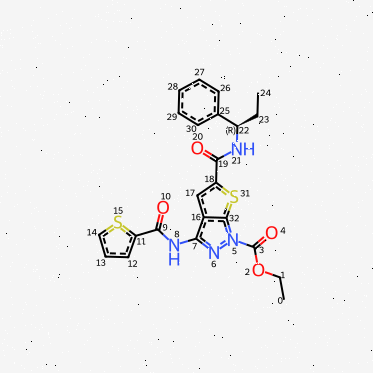 CCOC(=O)n1nc(NC(=O)c2cccs2)c2cc(C(=O)N[C@H](CC)c3ccccc3)sc21